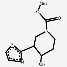 CC(C)(C)OC(=O)N1CCC(O)C(c2nccs2)C1